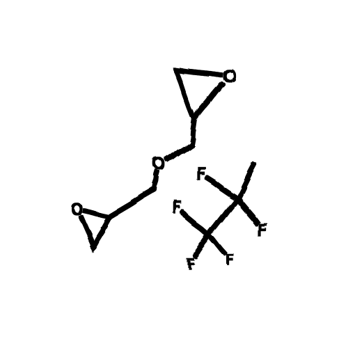 C(OCC1CO1)C1CO1.CC(F)(F)C(F)(F)F